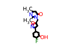 Cc1cc(=O)n(Cc2cc(-c3ccc(F)c(O)c3)no2)c(C)n1